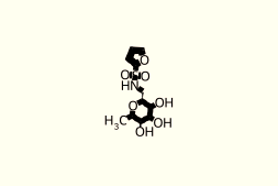 CC1O[C@H](CNS(=O)(=O)c2ccco2)C(O)C(O)[C@@H]1O